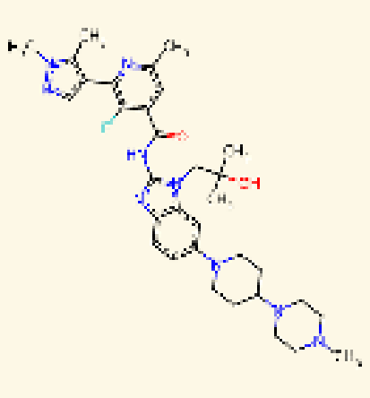 Cc1cc(C(=O)Nc2nc3ccc(N4CCC(N5CCN(C)CC5)CC4)cc3n2CC(C)(C)O)c(F)c(-c2cnn(C)c2C)n1